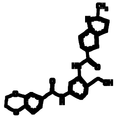 Cc1ccc2cc(C(=O)Nc3cc(NC(=O)c4ccc5c(c4)OCCO5)ccc3CO)ccc2n1